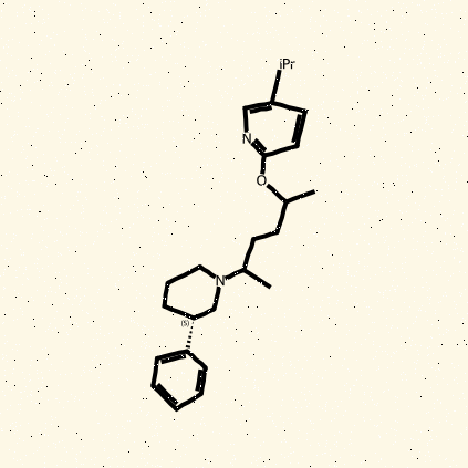 CC(CCC(C)N1CCC[C@@H](c2ccccc2)C1)Oc1ccc(C(C)C)cn1